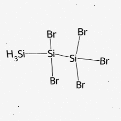 [SiH3][Si](Br)(Br)[Si](Br)(Br)Br